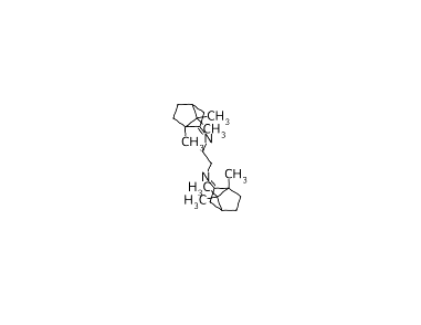 CC12CCC(C/C1=N/CC/N=C1/CC3CCC1(C)C3(C)C)C2(C)C